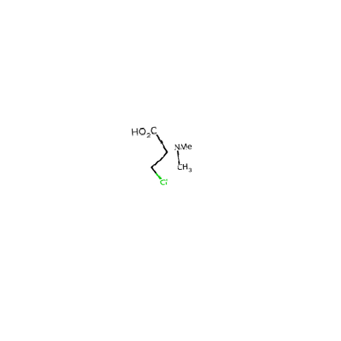 CNC.O=C(O)CCCl